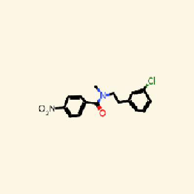 CN(CCc1cccc(Cl)c1)C(=O)c1ccc([N+](=O)[O-])cc1